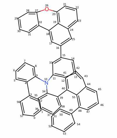 c1ccc(-c2ccccc2N(c2cccc(-c3cc4c5c(cccc5c3)Oc3ccccc3-4)c2)c2ccccc2-c2cccc3cccc(-c4ccccc4)c23)cc1